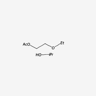 CC(C)O.CCOCCOC(C)=O